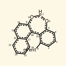 CCCCCc1cccc2o[pH]oc3ccc4ccccc4c3c12